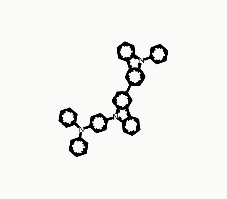 c1ccc(N(c2ccccc2)c2ccc(-n3c4ccccc4c4cc(-c5ccc6c(c5)c5ccccc5n6-c5ccccc5)ccc43)cc2)cc1